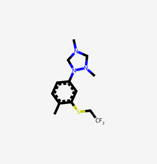 Cc1ccc(N2CN(C)CN2C)cc1SCC(F)(F)F